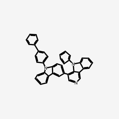 c1ccc(-c2ccc(-n3c4ccccc4c4cc(-c5cncc6c7ccccc7n(-c7ccccc7)c56)ccc43)cc2)cc1